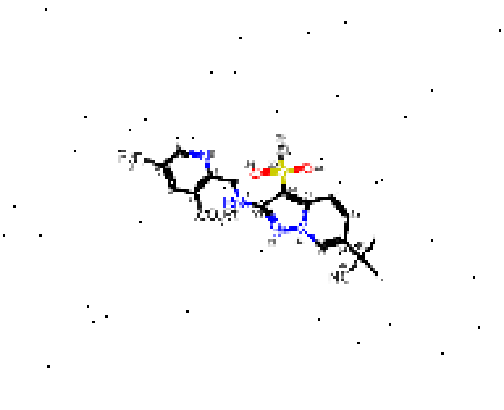 CCOC(=O)c1cc(C(F)(F)F)cnc1CNc1nn2cc(C(C)(C)C#N)ccc2c1S(=O)(=O)CC